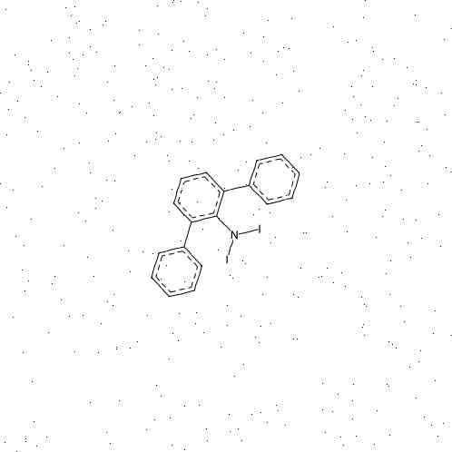 IN(I)c1c(-c2ccccc2)cccc1-c1ccccc1